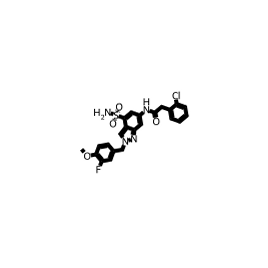 COc1ccc(Cn2cc3c(S(N)(=O)=O)cc(NC(=O)Cc4ccccc4Cl)cc3n2)cc1F